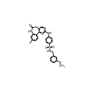 COc1cccc(CNS(=O)(=O)c2ccc(Nc3ncc4c(n3)-c3ccc(I)cc3NC(=O)C4)cc2)c1